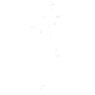 CCCCCCCCC(C)(CCCC)c1nnc(C)s1